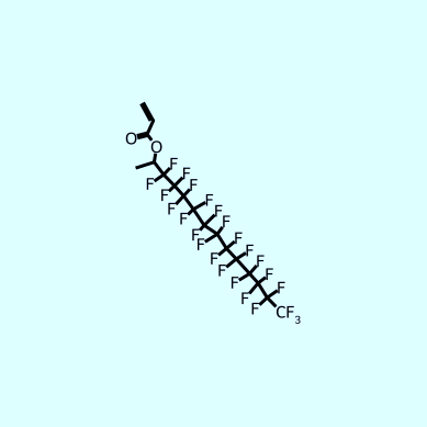 C=CC(=O)OC(C)C(F)(F)C(F)(F)C(F)(F)C(F)(F)C(F)(F)C(F)(F)C(F)(F)C(F)(F)C(F)(F)C(F)(F)C(F)(F)C(F)(F)F